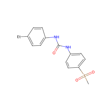 CCc1ccc(NC(=O)Nc2ccc(S(C)(=O)=O)cc2)cc1